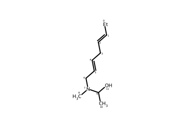 CC/C=C/C/C=C/CN(C)C(C)O